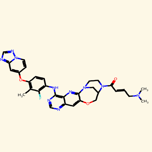 Cc1c(Oc2ccn3ncnc3c2)ccc(Nc2ncnc3cc4c(nc23)N2CCN(C(=O)/C=C/CN(C)C)C(CO4)C2)c1F